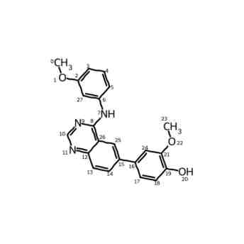 COc1cccc(Nc2ncnc3ccc(-c4ccc(O)c(OC)c4)cc23)c1